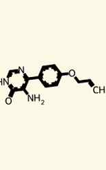 C=CCOc1ccc(-c2nc[nH]c(=O)c2N)cc1